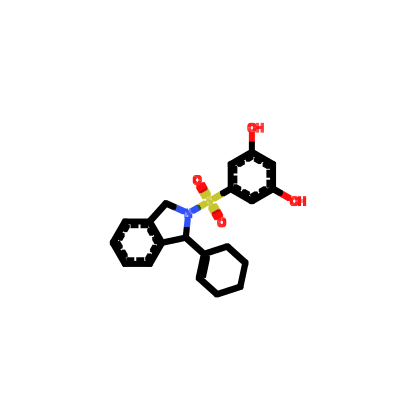 O=S(=O)(c1cc(O)cc(O)c1)N1Cc2ccccc2C1C1=CCCCC1